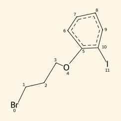 BrCCCOc1ccccc1I